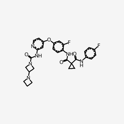 O=C(Nc1cc(Oc2ccc(NC(=O)C3(C(=O)Nc4ccc(F)cc4)CC3)c(F)c2)ccn1)N1CC(N2CCC2)C1